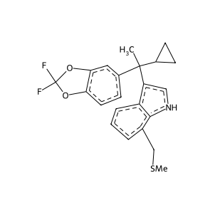 CSCc1cccc2c(C(C)(c3ccc4c(c3)OC(F)(F)O4)C3CC3)c[nH]c12